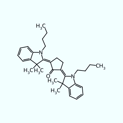 CCCCN1/C(=C2\CC/C(=C3\N(CCCC)c4ccccc4C3(C)C)C2=O)C(C)(C)c2ccccc21